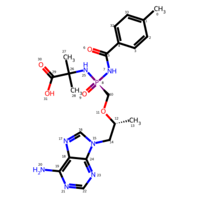 Cc1ccc(C(=O)N[P@@](=O)(CO[C@H](C)Cn2cnc3c(N)ncnc32)NC(C)(C)C(=O)O)cc1